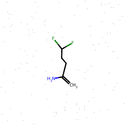 C=C(N)CCC(F)F